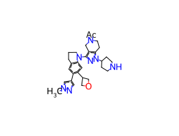 CC(=O)N1CCc2c(c(N3CCCc4cc(-c5cnn(C)c5)c(C5COC5)cc43)nn2C2CCNCC2)C1